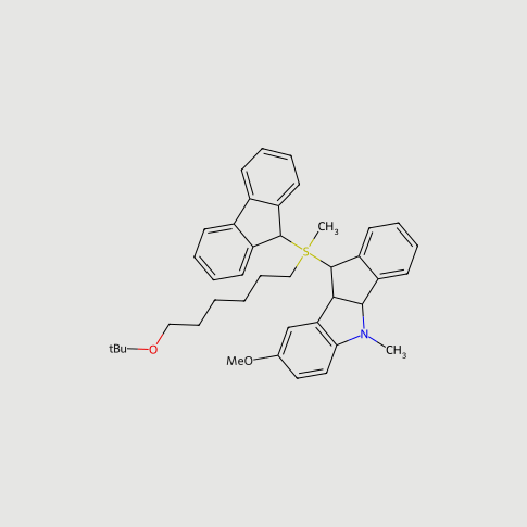 COc1ccc2c(c1)C1C(c3ccccc3C1S(C)(CCCCCCOC(C)(C)C)C1c3ccccc3-c3ccccc31)N2C